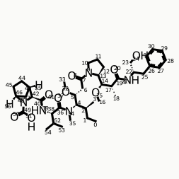 CC[C@H](C)[C@@H]([C@@H](CC(=O)N1CCC[C@H]1[C@H](OC)[C@@H](C)C(=O)N[C@H](CO)Cc1ccccc1)OC)N(C)C(=O)[C@@H](NC(=O)[C@@H]1[C@H]2CC[C@H](C2)N1C(=O)O)C(C)C